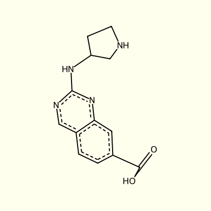 O=C(O)c1ccc2cnc(NC3CCNC3)nc2c1